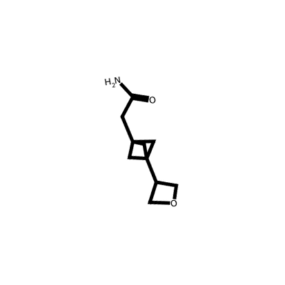 NC(=O)CC12CC(C3COC3)(C1)C2